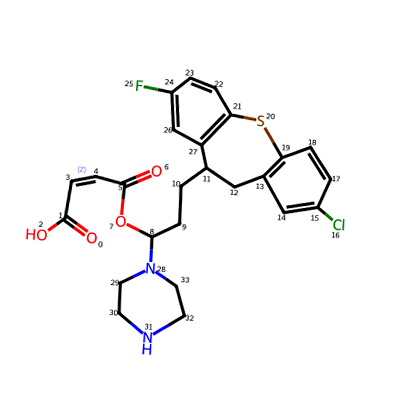 O=C(O)/C=C\C(=O)OC(CCC1Cc2cc(Cl)ccc2Sc2ccc(F)cc21)N1CCNCC1